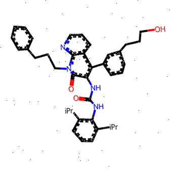 CC(C)c1cccc(C(C)C)c1NC(=O)Nc1c(-c2cccc(CCCO)c2)c2cccnc2n(CCCc2ccccc2)c1=O